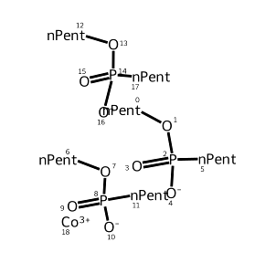 CCCCCOP(=O)([O-])CCCCC.CCCCCOP(=O)([O-])CCCCC.CCCCCOP(=O)([O-])CCCCC.[Co+3]